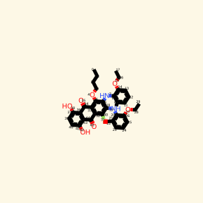 CCCCOc1c(Nc2c(C)cccc2OCC)c(Nc2c(C)cccc2OCC)c(F)c2c1C(=O)c1c(O)ccc(O)c1C2=O